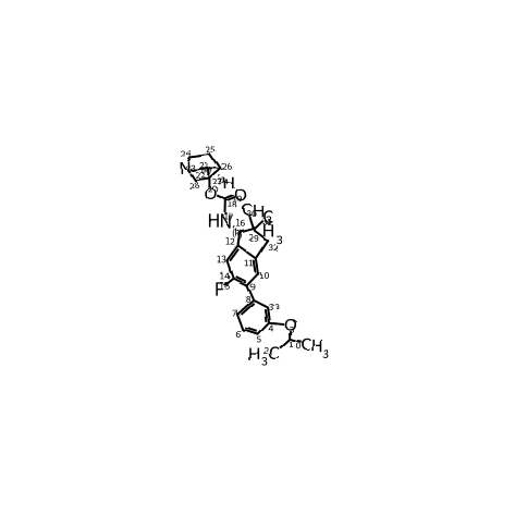 CC(C)Oc1cccc(-c2cc3c(cc2F)[C@H](NC(=O)O[C@H]2CN4CCC2CC4)C(C)(C)C3)c1